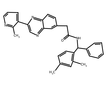 Cc1ccc(C(NC(=O)Cc2ccc3nc(-c4cccnc4C)cnc3c2)c2ccccc2)c(C)c1